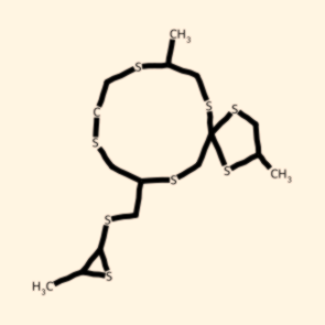 CC1CSC2(CSC(CSC3SC3C)CSCCS1)SCC(C)S2